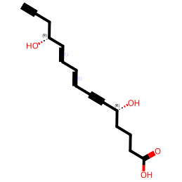 C#CC[C@@H](O)/C=C/C=C/C#C[C@H](O)CCCC(=O)O